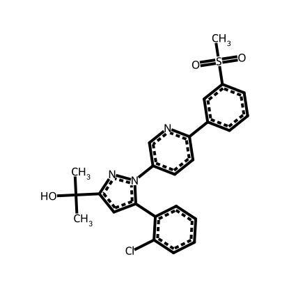 CC(C)(O)c1cc(-c2ccccc2Cl)n(-c2ccc(-c3cccc(S(C)(=O)=O)c3)nc2)n1